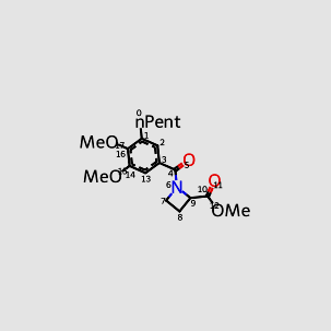 CCCCCc1cc(C(=O)N2CCC2C(=O)OC)cc(OC)c1OC